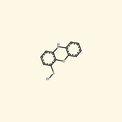 CCSc1cccc2c1Oc1ccccc1N2